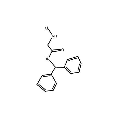 O=C(CNCl)NC(c1ccccc1)c1ccccc1